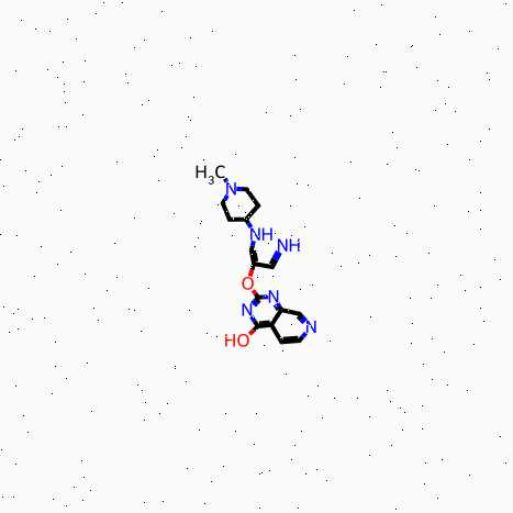 CN1CCC(N/C=C(\C=N)Oc2nc(O)c3ccncc3n2)CC1